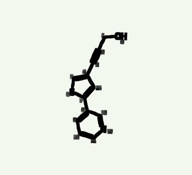 OCC#Cc1csc(-c2cccnc2)c1